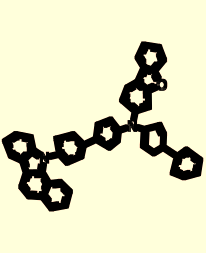 C1=CC(c2ccccc2)CC=C1N(c1ccc(-c2ccc(-n3c4ccccc4c4ccc5ccccc5c43)cc2)cc1)c1ccc2c(c1)oc1ccccc12